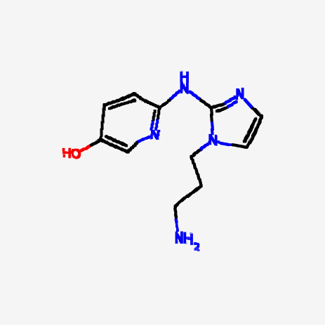 NCCCn1ccnc1Nc1ccc(O)cn1